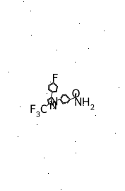 NC(=O)c1ccc(-n2nc(C(F)(F)F)cc2-c2ccc(F)cc2)cc1